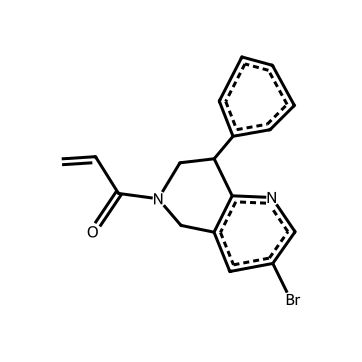 C=CC(=O)N1Cc2cc(Br)cnc2C(c2ccccc2)C1